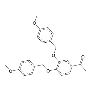 COc1ccc(COc2ccc(C(C)=O)cc2OCc2ccc(OC)cc2)cc1